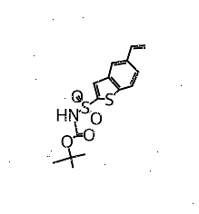 C=Cc1ccc2sc(S(=O)(=O)NC(=O)OC(C)(C)C)cc2c1